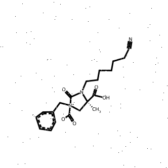 C[C@]1(C(=O)O)C[N+](Cc2ccccc2)(C(=O)[O-])C(=O)N1CCCCCCC#N